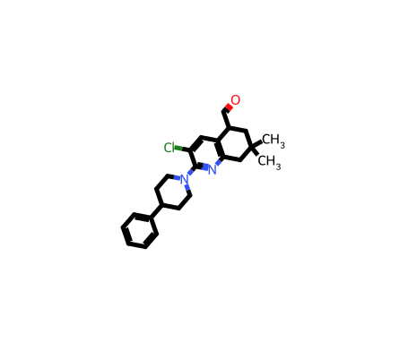 CC1(C)Cc2nc(N3CCC(c4ccccc4)CC3)c(Cl)cc2C(C=O)C1